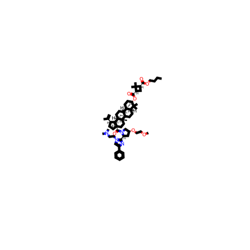 C=C(C)[C@@H]1CC[C@]2(C(=O)N3C[C@H](OCCOC)C[C@H]3c3nc(-c4ccccc4)cn3CCN(C)C)CC[C@]3(C)[C@H](CC[C@@H]4[C@@]5(C)CC[C@H](OC(=O)[C@H]6C[C@@H](C(=O)OCCCC)C6(C)C)C(C)(C)[C@@H]5CC[C@]43C)[C@@H]12